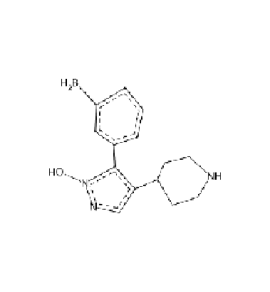 Bc1cccc(-c2c(C3CCNCC3)cnn2O)c1